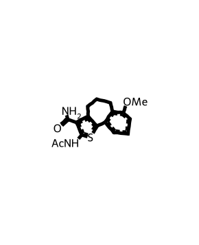 COc1cccc2c1CCCc1c-2sc(NC(C)=O)c1C(N)=O